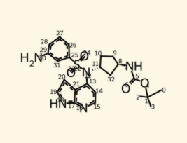 CC(C)(C)OC(=O)N[C@@H]1CC[C@@H](N(c2ccnc3[nH]ccc23)S(=O)(=O)c2cccc(N)c2)C1